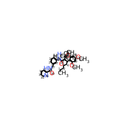 CCCCCC(c1c(OC)cc(OC)cc1OC)C(C(=O)Nc1cccc(CNC(=O)c2ccccn2)c1)C(C)(C)C